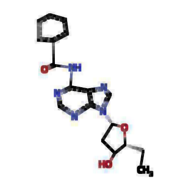 CC[C@H]1O[C@@H](n2cnc3c(NC(=O)c4ccccc4)ncnc32)CC1O